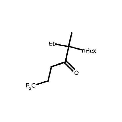 CCCCCCC(C)(CC)C(=O)CCC(F)(F)F